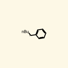 CCCC[C]c1ccccc1